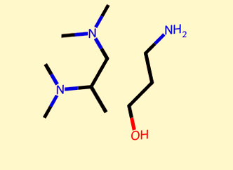 CC(CN(C)C)N(C)C.NCCCO